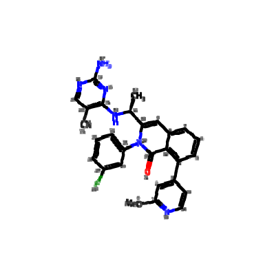 COc1cc(-c2cccc3cc([C@H](C)Nc4nc(N)ncc4C#N)n(-c4cccc(F)c4)c(=O)c23)ccn1